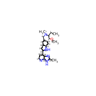 CCC(COC)N(C)Cc1ccc2[nH]c(-c3ccnc4[nH]c(C)nc34)cc2c1